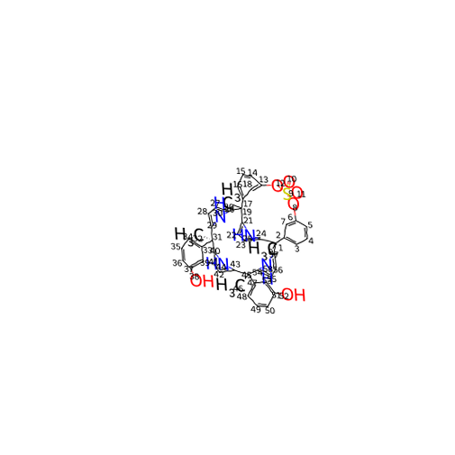 CC12c3cccc(c3)OS(=O)(=O)Oc3cccc(c3)C(C)(c3ccc1[nH]3)c1ccc([nH]1)[C@](C)(c1cccc(O)c1)c1ccc([nH]1)C(C)(c1cccc(O)c1)c1ccc2[nH]1